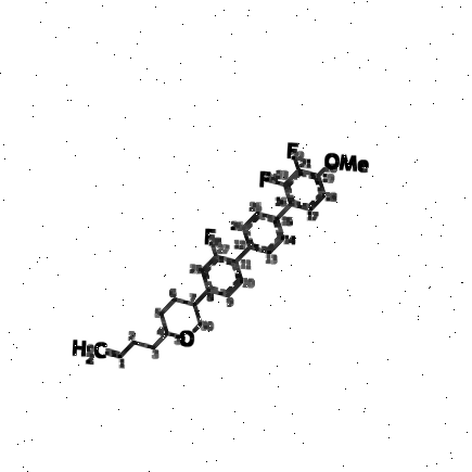 C=CCCC1CCC(c2ccc(-c3ccc(-c4ccc(OC)c(F)c4F)cc3)c(F)c2)CO1